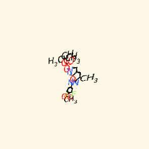 CC(CC1CCN(OC(=O)OC(C)(C)C)CC1)c1nc(-c2ccc(S(C)(=O)=O)c(F)c2)no1